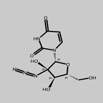 [N-]=[N+]=N[C@@]1(O)[C@H](O)[C@@H](CO)O[C@H]1n1ccc(=O)[nH]c1=O